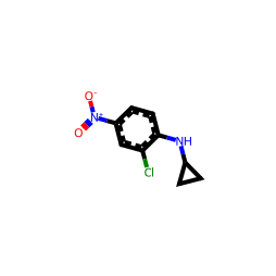 O=[N+]([O-])c1ccc(NC2CC2)c(Cl)c1